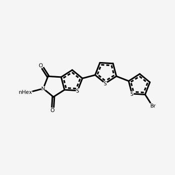 CCCCCCN1C(=O)c2cc(-c3ccc(-c4ccc(Br)s4)s3)sc2C1=O